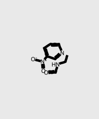 CCNC=O.O=[N+]([O-])c1cccnc1